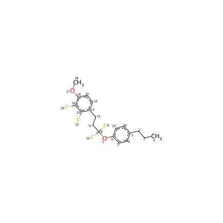 CCCc1ccc(OC(F)(F)CCc2ccc(OC)c(F)c2F)cc1